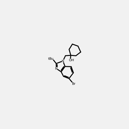 CC(C)(C)c1nc2cc(Br)ccc2n1CC1(O)CCCCC1